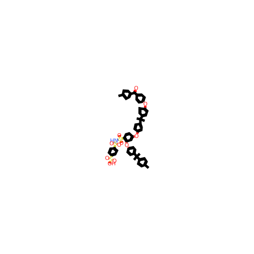 Cc1ccc(C(=O)c2ccc(Oc3ccc(C(C)(C)c4ccc(Oc5ccc(S(=O)(=O)NS(=O)(=O)c6ccc(S(=O)(=O)O)cc6)c(Oc6ccc(C(C)(C)c7ccc(C)cc7)cc6)c5)cc4)cc3)cc2)cc1